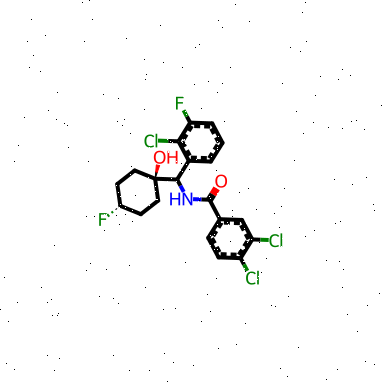 O=C(NC(c1cccc(F)c1Cl)[C@]1(O)CC[C@H](F)CC1)c1ccc(Cl)c(Cl)c1